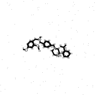 COc1ccc(CN(C)Cc2ccc(CN3CCN[C@H](c4ccccc4C(C)C)C3)cc2)c(OC)c1